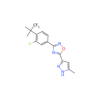 Cc1cc(-c2nc(-c3ccc(C(C)(C)C(F)(F)F)c(F)c3)no2)n[nH]1